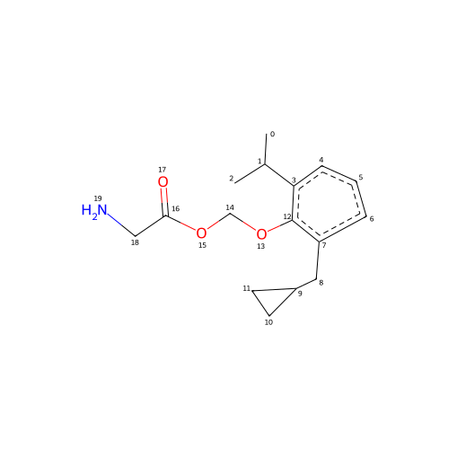 CC(C)c1cccc(CC2CC2)c1OCOC(=O)CN